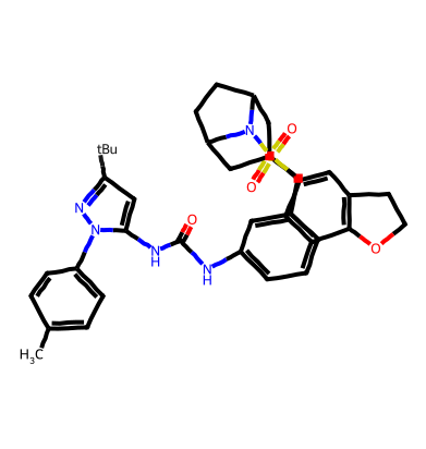 Cc1ccc(-n2nc(C(C)(C)C)cc2NC(=O)Nc2cccc(CC3CC4CCC(C3)N4S(=O)(=O)c3ccc4c(c3)CCO4)c2)cc1